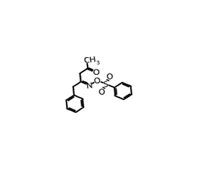 CC(=O)CC(Cc1ccccc1)=NOS(=O)(=O)c1ccccc1